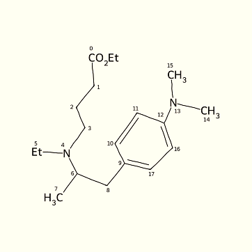 CCOC(=O)CCCN(CC)C(C)Cc1ccc(N(C)C)cc1